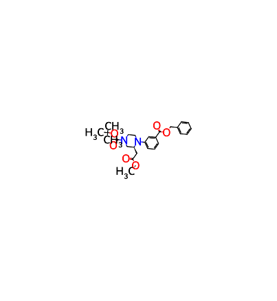 COC(=O)C[C@H]1CN(C(=O)OC(C)(C)C)CCN1c1cccc(C(=O)OCc2ccccc2)c1